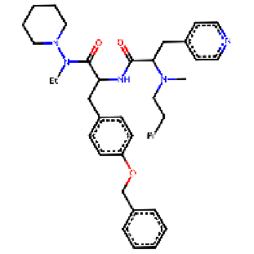 CCN(C(=O)C(Cc1ccc(OCc2ccccc2)cc1)NC(=O)C(Cc1ccncc1)N(C)CCC(C)C)N1CCCCC1